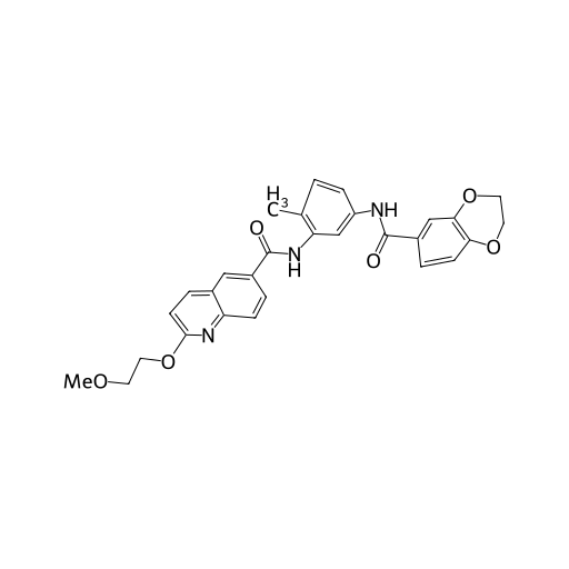 COCCOc1ccc2cc(C(=O)Nc3cc(NC(=O)c4ccc5c(c4)OCCO5)ccc3C)ccc2n1